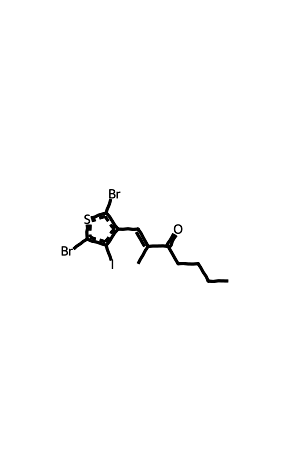 CCCCC(=O)/C(C)=C/c1c(Br)sc(Br)c1I